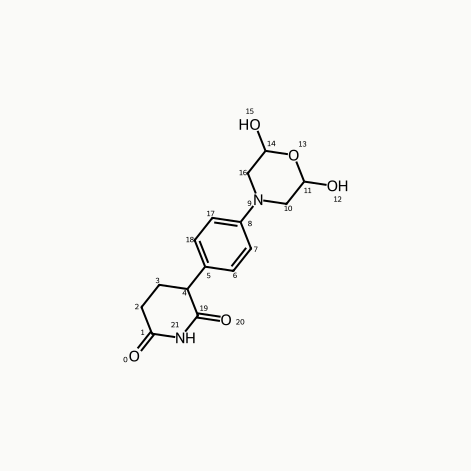 O=C1CCC(c2ccc(N3CC(O)OC(O)C3)cc2)C(=O)N1